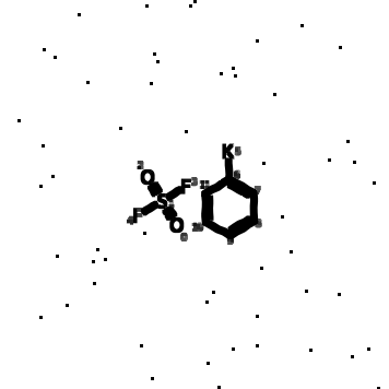 O=S(=O)(F)F.[K][c]1ccccc1